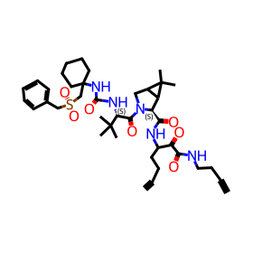 C#CCCNC(=O)C(=O)C(CCC#C)NC(=O)[C@@H]1C2C(CN1C(=O)[C@@H](NC(=O)NC1(CS(=O)(=O)Cc3ccccc3)CCCCC1)C(C)(C)C)C2(C)C